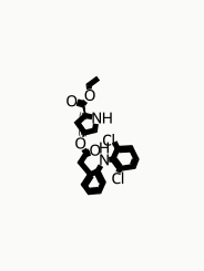 CCOC(=O)[C@@H]1C[C@@H](OC(=O)Cc2ccccc2Nc2c(Cl)cccc2Cl)CN1